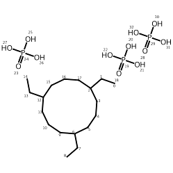 CCC1CCCC(CC)CCCC(CC)CCC1.O=P(O)(O)O.O=P(O)(O)O.O=P(O)(O)O